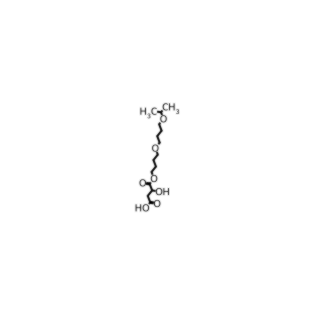 CC(C)OCCCCOCCCCOC(=O)C(O)CC(=O)O